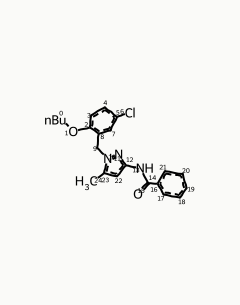 CCCCOc1ccc(Cl)cc1Cn1nc(NC(=O)c2ccccc2)cc1C